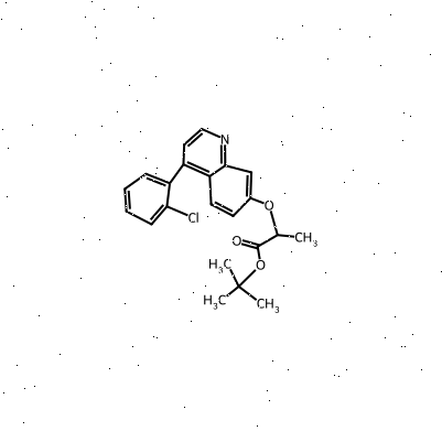 CC(Oc1ccc2c(-c3ccccc3Cl)ccnc2c1)C(=O)OC(C)(C)C